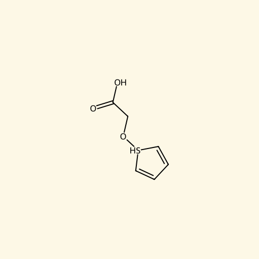 O=C(O)CO[SH]1C=CC=C1